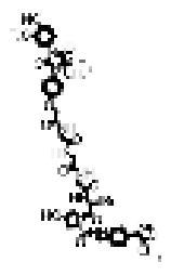 Cc1ncsc1-c1ccc(CNC(=O)[C@@H]2C[C@@H](O)CN2C(=O)C(NC(=O)CNC(=O)CNC(=O)CNC(=O)COc2ccc(N3C(=S)N(c4ccc(C#N)c(C(F)(F)F)c4)C(=O)C3(C)C)cc2)C(C)(C)C)cc1